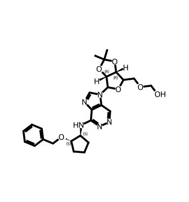 CC1(C)O[C@@H]2C(COCO)OC(n3cnc4c(N[C@H]5CCC[C@@H]5OCc5ccccc5)nncc43)[C@@H]2O1